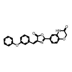 O=C1COc2ccc(C3=NC(=Cc4cccc(Oc5ccccc5)c4)C(=O)O3)cc2N1